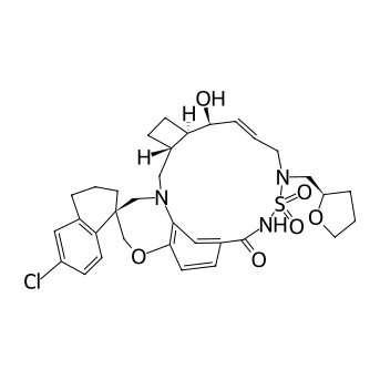 O=C1NS(=O)(=O)N(C[C@H]2CCCO2)C/C=C/[C@H](O)[C@@H]2CC[C@H]2CN2C[C@@]3(CCCc4cc(Cl)ccc43)COc3ccc1cc32